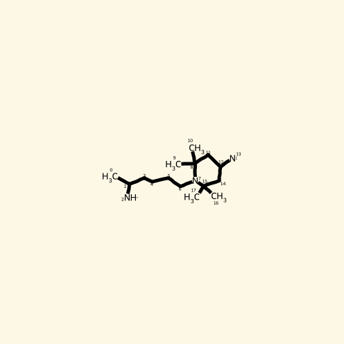 CC([NH])CCCCN1C(C)(C)CC([N])CC1(C)C